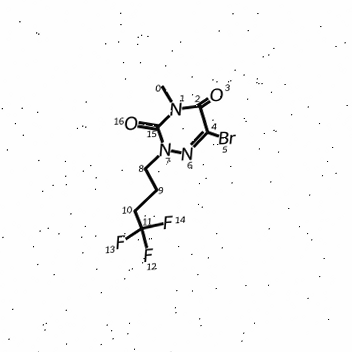 Cn1c(=O)c(Br)nn(CCCC(F)(F)F)c1=O